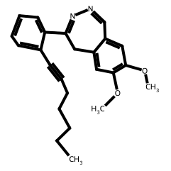 CCCCCC#Cc1ccccc1C1=NN=Cc2cc(OC)c(OC)cc2C1